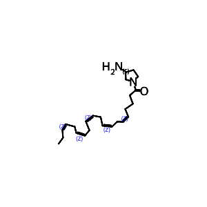 CC/C=C\C/C=C\C/C=C\C/C=C\C/C=C\CCCC(=O)N1CC[C@H](N)C1